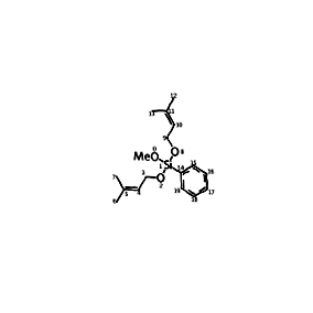 CO[Si](OCC=C(C)C)(OCC=C(C)C)c1ccccc1